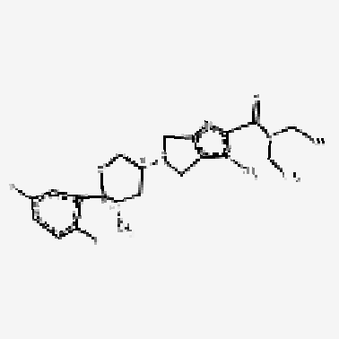 CCN(CC)C(=O)c1nc2c(n1C)CN([C@H]1CO[C@H](c3cc(F)ccc3F)[C@@H](N)C1)C2